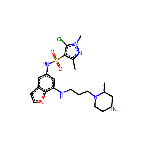 Cc1nn(C)c(Cl)c1S(=O)(=O)Nc1cc(NCCCN2CCCCC2C)c2occc2c1.Cl